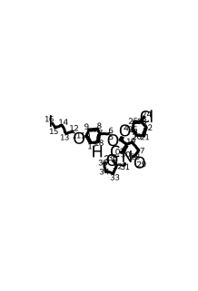 CC1=C(C(=O)OCc2ccc(OCCCCI)cc2)[C@H](c2ccc(Cl)cc2)CC(=O)N1C[C@H]1CCCO1